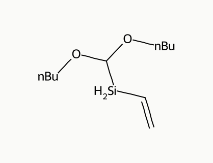 C=C[SiH2]C(OCCCC)OCCCC